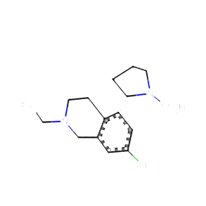 O=C(O)N1CCC[C@H]1c1cc(Cl)cc2c1CCN(CC(F)(F)F)C2